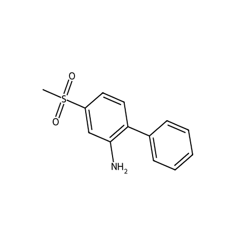 CS(=O)(=O)c1ccc(-c2ccccc2)c(N)c1